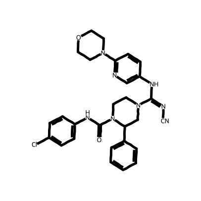 N#C/N=C(/Nc1ccc(N2CCOCC2)nc1)N1CCN(C(=O)Nc2ccc(Cl)cc2)C(c2ccccc2)C1